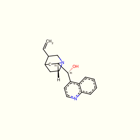 C=CC1CN2CCC1C[C@H]2[C@H](O)c1ccnc2ccccc12